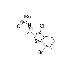 C/C(=N\[S@+]([O-])C(C)(C)C)c1sc2c(Br)nccc2c1Cl